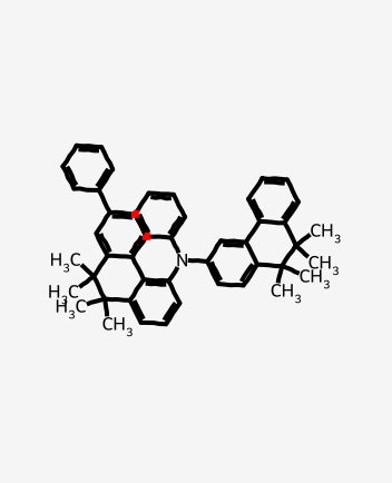 CC1(C)c2ccccc2-c2cc(N(c3ccccc3)c3cccc4c3-c3ccc(-c5ccccc5)cc3C(C)(C)C4(C)C)ccc2C1(C)C